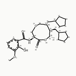 COc1ccnc(C(=O)N[C@H]2COC[C@H](CC3CCCC3)[C@@H](CC3CCCC3)[C@H](C)OC2=O)c1O